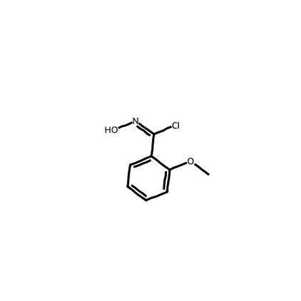 COc1ccccc1/C(Cl)=N\O